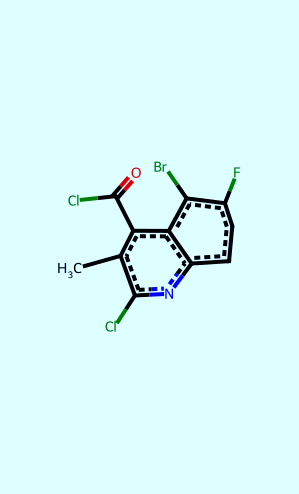 Cc1c(Cl)nc2ccc(F)c(Br)c2c1C(=O)Cl